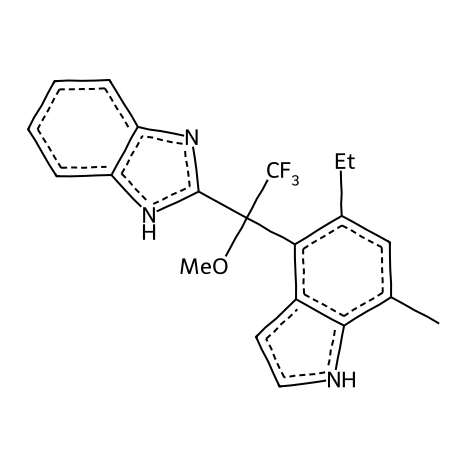 CCc1cc(C)c2[nH]ccc2c1C(OC)(c1nc2ccccc2[nH]1)C(F)(F)F